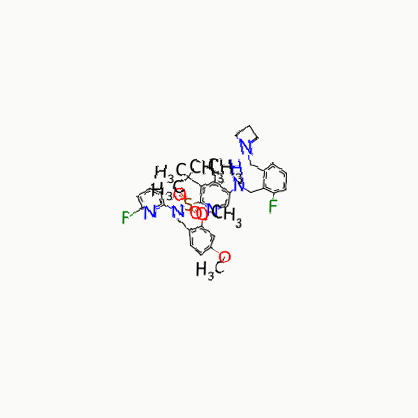 COc1ccc(CN(c2cccc(F)n2)S(=O)(=O)c2ncc(NCc3c(F)cccc3CN3CCC3)c(C)c2C(C)(C)C)c(OC)c1